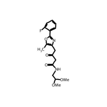 COC(CNC(=O)CC(=O)Cc1nc(-c2ccccc2F)oc1C)OC